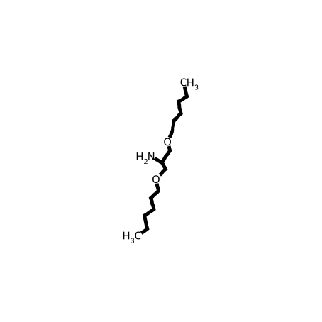 CCCCCCOCC(N)COCCCCCC